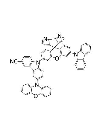 N#Cc1ccc2c(c1)c1cc(N3c4ccccc4Oc4ccccc43)ccc1n2-c1ccc2c(c1)Oc1cc(-n3c4ccccc4c4ccccc43)ccc1C21c2cccnc2-c2ncccc21